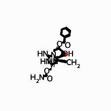 C=C1NC2[C@H](COC(N)=O)NC(=N)N3C[C@H](OC(=O)C4=CC=CCC4)C4CC4C23N1O